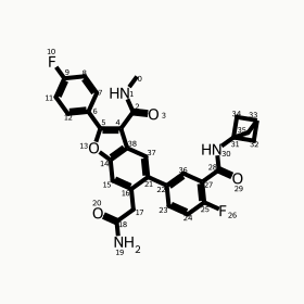 CNC(=O)c1c(-c2ccc(F)cc2)oc2cc(CC(N)=O)c(-c3ccc(F)c(C(=O)NC45CC(C4)C5)c3)cc12